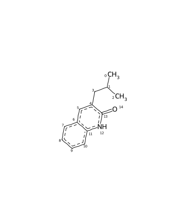 CC(C)Cc1cc2ccccc2[nH]c1=O